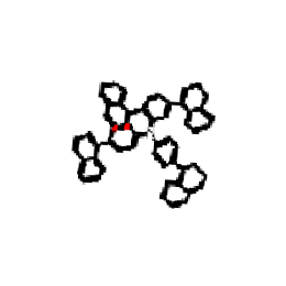 C1=C(c2ccc(-c3cccc4ccccc34)c(N(c3ccc(C4=c5ccccc5=CCC4)cc3)c3ccc(-c4cccc5ccccc45)cc3)c2)c2ccccc2CC1